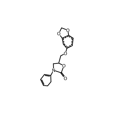 O=C1OC(COc2ccc3c(c2)OCO3)CN1C1=CC=CCC1